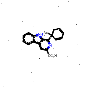 CC(=O)C1(c2nc(C(=O)O)cc3c2[nH]c2ccccc23)C=CC=CC1